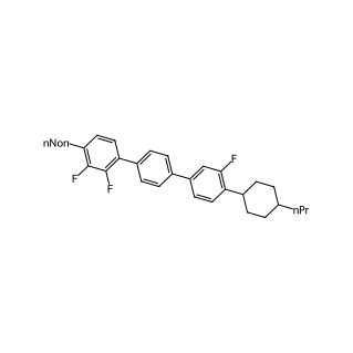 CCCCCCCCCc1ccc(-c2ccc(-c3ccc(C4CCC(CCC)CC4)c(F)c3)cc2)c(F)c1F